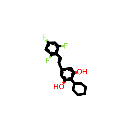 Oc1cc(C=Cc2c(F)cc(F)cc2F)cc(O)c1C1CCCCC1